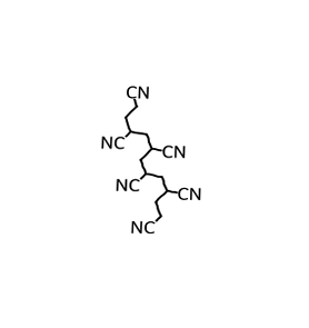 N#CCCC(C#N)CC(C#N)CC(C#N)CC(C#N)CCC#N